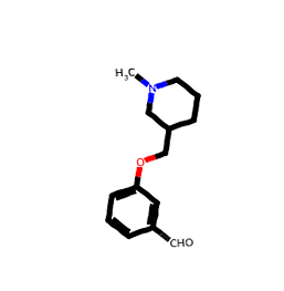 CN1CCCC(COc2cccc(C=O)c2)C1